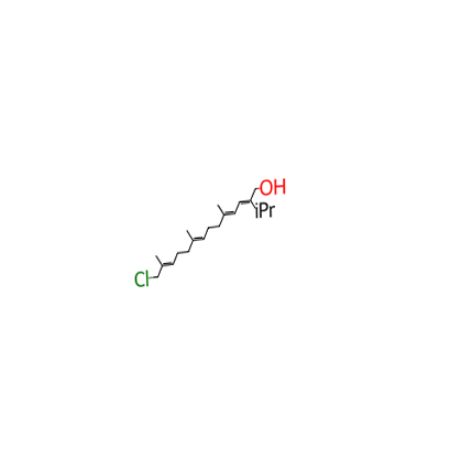 C/C(=C\CC/C(C)=C/CC/C(C)=C/C=C(/CO)C(C)C)CCl